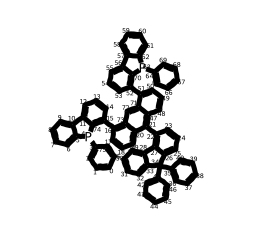 c1ccc(-p2c3ccccc3c3cccc(-c4cccc5c(-c6cccc7c6-c6ccccc6C7(c6ccccc6)c6ccccc6)c6cccc(-c7cccc8c9ccccc9p(-c9ccccc9)c78)c6cc45)c32)cc1